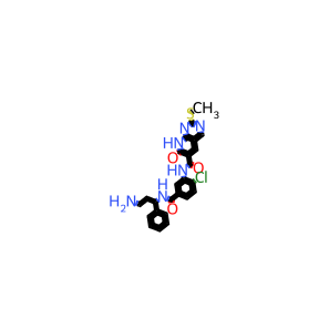 CSc1ncc2cc(C(=O)Nc3cc(C(=O)NC(CCN)c4ccccc4)ccc3Cl)c(=O)[nH]c2n1